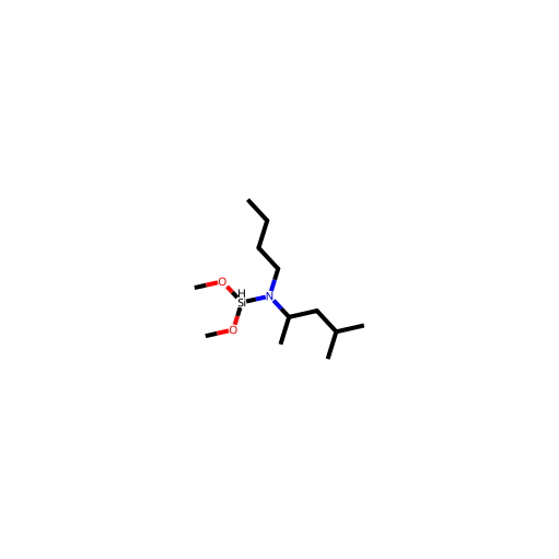 CCCCN(C(C)CC(C)C)[SiH](OC)OC